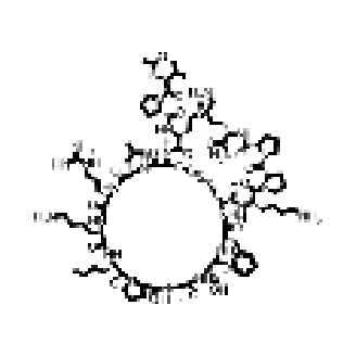 CCCC[C@@H]1NC(=O)[C@H](CCCCN)NC(=O)[C@H](CCCNC(=N)N)NC(=O)[C@H](CC(C)C)NC(=O)C(NC(=O)[C@H](CCSC)NC(=O)[C@@H]2CCCN2C(=O)[C@@H](NC(C)=O)C(C)C)CCSSC[C@@H](C(=O)N[C@@H](CCCCN)C(=O)N2CCC[C@H]2C(=O)N2CCC[C@H]2C(=O)N[C@@H](CCCCN)C(N)=O)NC(=O)[C@H](Cc2ccccc2)NC(=O)[C@H](CO)NC(=O)[C@H](C)NC(=O)[C@@H]2CCCN2C1=O